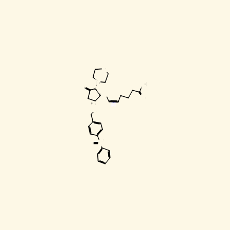 O=C(O)CCC/C=C\C[C@H]1[C@H](N2CCOCC2)C(=O)C[C@H]1OCc1ccc(S(=O)(=O)c2ccccc2)cc1